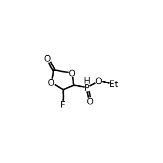 CCO[PH](=O)C1OC(=O)OC1F